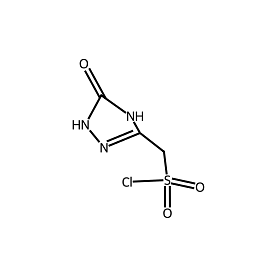 O=c1[nH]nc(CS(=O)(=O)Cl)[nH]1